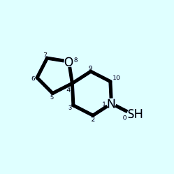 SN1CCC2(CCCO2)CC1